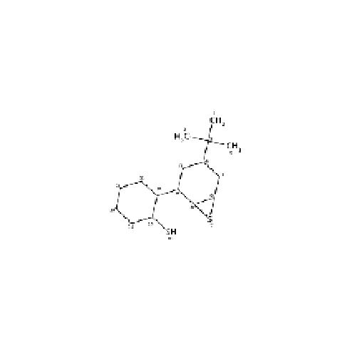 CC(C)(C)C1CC2SC2C(C2CCCCC2S)C1